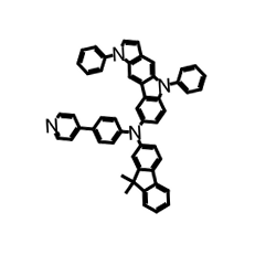 CC1(C)c2ccccc2-c2ccc(N(c3ccc(-c4ccncc4)cc3)c3ccc4c(c3)c3cc5c(ccn5-c5ccccc5)cc3n4-c3ccccc3)cc21